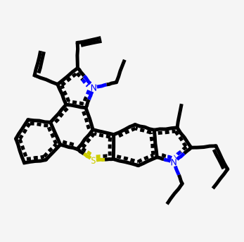 C=Cc1c(C=C)n(CC)c2c1c1ccccc1c1sc3cc4c(cc3c12)c(C)c(/C=C\C)n4CC